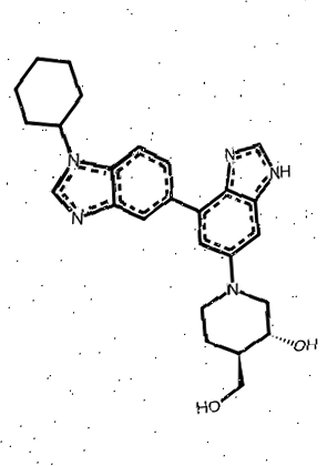 OC[C@H]1CCN(c2cc(-c3ccc4c(c3)ncn4C3CCCCC3)c3nc[nH]c3c2)C[C@@H]1O